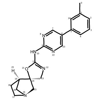 Cc1cccc(-c2cnc(NC3=NC[C@@]4(C[N@@]5CC[C@@H]4C5)O3)nc2)c1